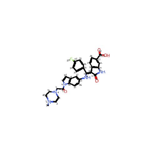 CN1CCN(CC(=O)n2ccc3cc(NC(=C4C(=O)Nc5cc(C(=O)O)ccc54)c4ccc(F)cc4)ccc32)CC1